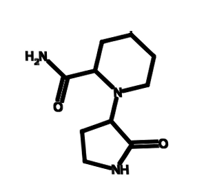 NC(=O)C1C[CH]CCN1C1CCNC1=O